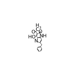 CC(=O)c1c(O)c2ncc(Cc3ccccc3)cc2[nH]c1=O